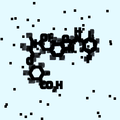 Cc1ccc(F)cc1Nc1nc2ccc(CC(=O)N(C)[C@@H](C)CO[C@H]3CC[C@H](C(=O)O)CC3)c(F)c2o1